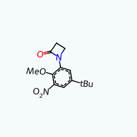 COc1c(N2CCC2=O)cc(C(C)(C)C)cc1[N+](=O)[O-]